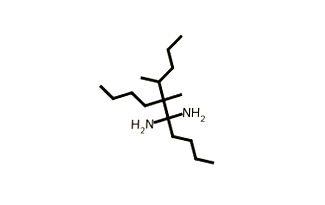 CCCCC(N)(N)C(C)(CCCC)C(C)CCC